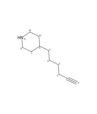 C#CCCCCC1CCNCC1